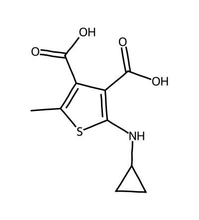 Cc1sc(NC2CC2)c(C(=O)O)c1C(=O)O